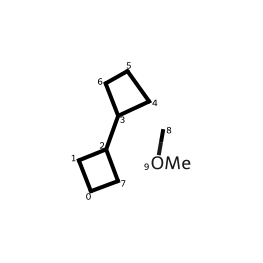 C1CC(C2CCC2)C1.COC